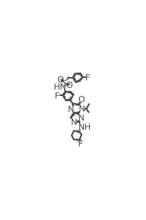 CC(C)n1c(=O)c(-c2ccc(NS(=O)(=O)Cc3ccc(F)cc3)c(F)c2)nc2cnc(N[C@H]3CCC[C@@H](F)C3)nc21